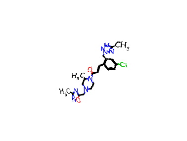 Cc1noc(CN2CCN(C(=O)/C=C/c3ccc(Cl)cc3Cn3nnc(C)n3)C(C)C2)n1